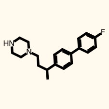 CC(CCN1CCNCC1)c1ccc(-c2ccc(F)cc2)cc1